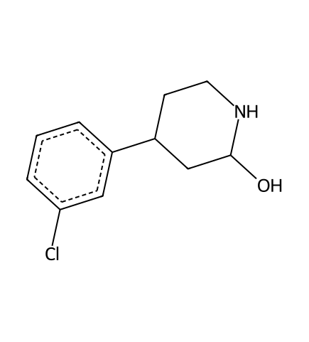 OC1CC(c2cccc(Cl)c2)CCN1